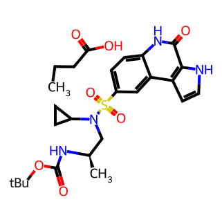 CCCC(=O)O.C[C@H](CN(C1CC1)S(=O)(=O)c1ccc2[nH]c(=O)c3[nH]ccc3c2c1)NC(=O)OC(C)(C)C